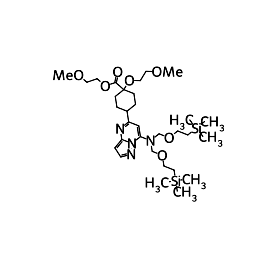 COCCOC(=O)C1(OCCOC)CCC(c2cc(N(COCC[Si](C)(C)C)COCC[Si](C)(C)C)n3nccc3n2)CC1